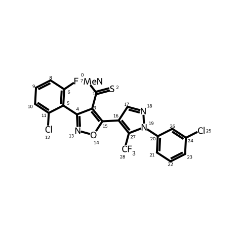 CNC(=S)c1c(-c2c(F)cccc2Cl)noc1-c1cnn(-c2cccc(Cl)c2)c1C(F)(F)F